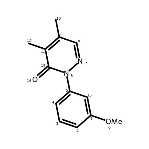 COc1cccc(-n2ncc(C)c(C)c2=O)c1